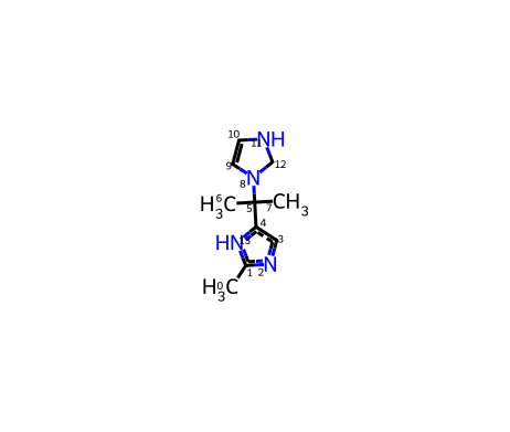 Cc1ncc(C(C)(C)N2C=CNC2)[nH]1